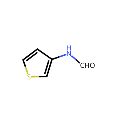 O=CNc1ccsc1